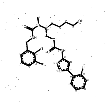 CN(C(=O)NCc1cccc(F)c1Cl)[C@@H](CCCCO)COC(=O)Nc1cc(-c2ccccc2Cl)on1